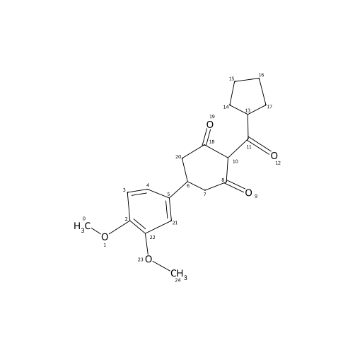 COc1ccc(C2CC(=O)C(C(=O)C3CCCC3)C(=O)C2)cc1OC